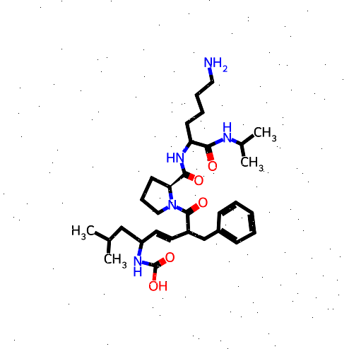 CC(C)CC(/C=C/C(Cc1ccccc1)C(=O)N1CCC[C@H]1C(=O)NC(CCCCN)C(=O)NC(C)C)NC(=O)O